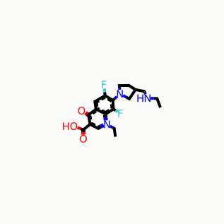 CCNCC1CCN(c2c(F)cc3c(=O)c(C(=O)O)cn(CC)c3c2F)C1